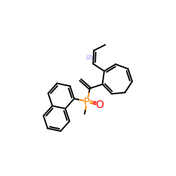 C=C(C1=CCC=CC=C1/C=C\C)P(C)(=O)c1cccc2ccccc12